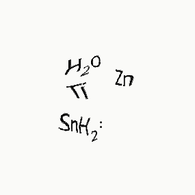 O.[SnH2].[Ti].[Zn]